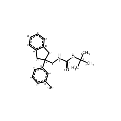 CC(C)(C)OC(=O)NCC1(c2cccc(Br)c2)Cc2ccccc2C1